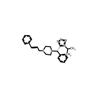 CC(C)n1nnnc1[C@H](c1ccccc1)N1CCN(C/C=C/c2ccccc2)CC1